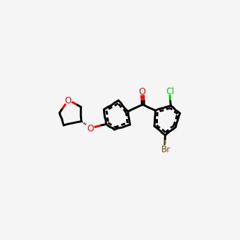 O=C(c1ccc(O[C@@H]2CCOC2)cc1)c1cc(Br)ccc1Cl